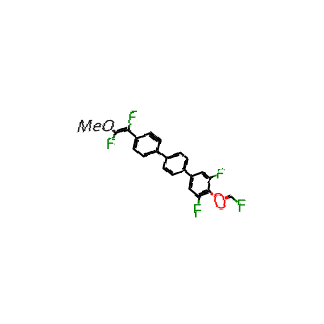 CO/C(F)=C(\F)c1ccc(-c2ccc(-c3cc(F)c(OCF)c(F)c3)cc2)cc1